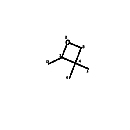 CC1OCC1(C)C